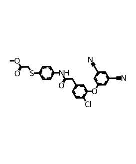 COC(=O)CSc1ccc(NC(=O)Cc2ccc(Cl)c(Oc3cc(C#N)cc(C#N)c3)c2)cc1